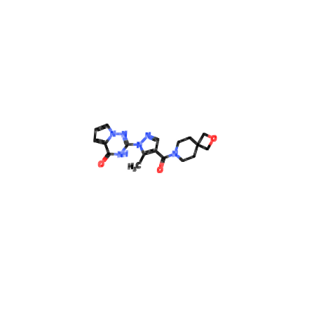 Cc1c(C(=O)N2CCC3(CC2)COC3)cnn1-c1nn2cccc2c(=O)[nH]1